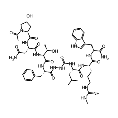 CNC(=N)NCCC[C@H](NC(=O)[C@H](CC(C)C)NC(=O)NNC(=O)[C@H](Cc1ccccc1)NC(=O)[C@@H](NC(=O)[C@H](CC(N)=O)NC(=O)[C@@H]1C[C@@H](O)CN1C(C)=O)[C@@H](C)O)C(=O)N[C@@H](Cc1c[nH]c2ccccc12)C(N)=O